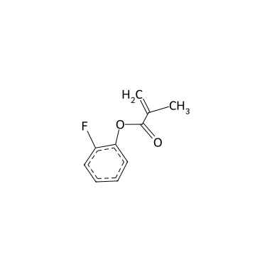 C=C(C)C(=O)Oc1ccccc1F